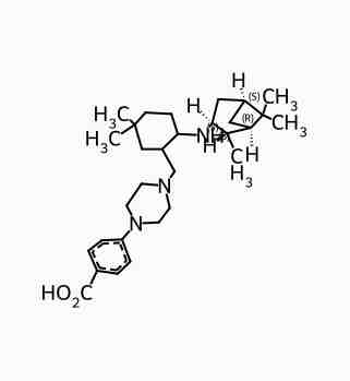 C[C@@H]1[C@@H](NC2CCC(C)(C)CC2CN2CCN(c3ccc(C(=O)O)cc3)CC2)C[C@@H]2C[C@H]1C2(C)C